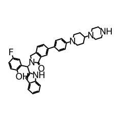 O=C1c2cc(-c3ccc(N4CCC(N5CCNCC5)CC4)cc3)ccc2CN1[C@@H](c1cc2ccccc2[nH]1)c1cc(F)ccc1O